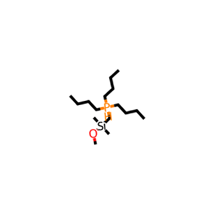 CCCC[PH](CCCC)(CCCC)C[Si](C)(C)OC